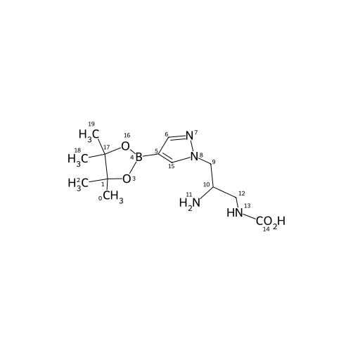 CC1(C)OB(c2cnn(CC(N)CNC(=O)O)c2)OC1(C)C